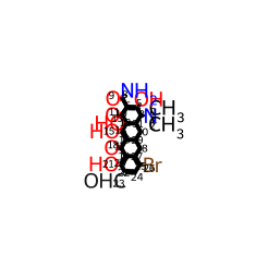 CN(C)[C@@H]1C(O)=C(C(N)=O)C(=O)[C@@]2(O)C(O)=C3C(=O)c4c(O)c(C=O)cc(Br)c4CC3CC12